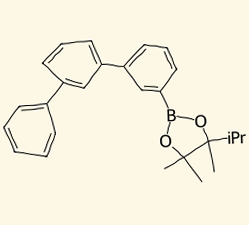 CC(C)C1(C)OB(c2cccc(-c3cccc(-c4ccccc4)c3)c2)OC1(C)C